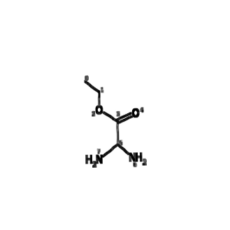 CCOC(=O)C(N)N